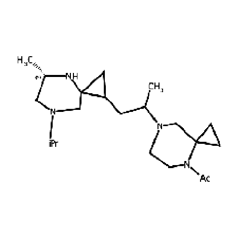 CC(=O)N1CCN(C(C)CC2CC23CN(C(C)C)C[C@H](C)N3)CC12CC2